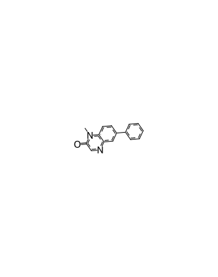 Cn1c(=O)cnc2cc(-c3ccccc3)ccc21